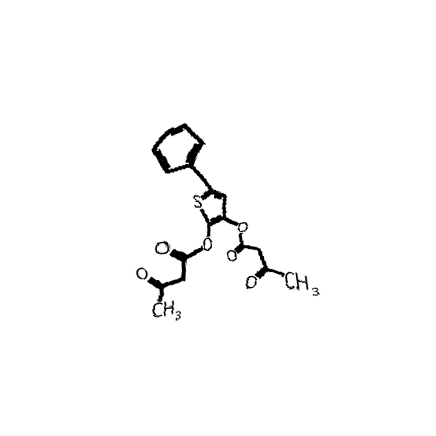 CC(=O)CC(=O)Oc1cc(-c2ccccc2)sc1OC(=O)CC(C)=O